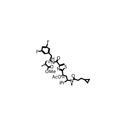 COC(=O)[C@@H](C)C[C@H](Cc1cc(F)cc(F)c1)NC(=O)c1csc([C@@H](CC(C(C)C)N(C)C(=O)CCC2CC2)OC(C)=O)n1